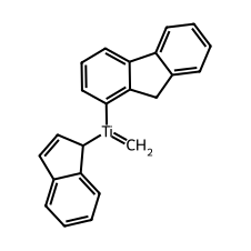 [CH2]=[Ti]([c]1cccc2c1Cc1ccccc1-2)[CH]1C=Cc2ccccc21